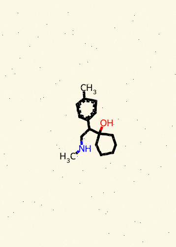 CNCC(c1ccc(C)cc1)C1(O)CCCCC1